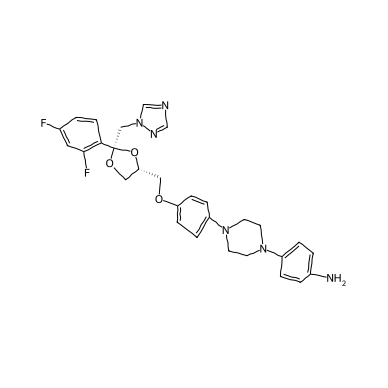 Nc1ccc(N2CCN(c3ccc(OC[C@@H]4CO[C@@](Cn5cncn5)(c5ccc(F)cc5F)O4)cc3)CC2)cc1